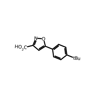 CC(C)(C)c1ccc(-c2cc(C(=O)O)no2)cc1